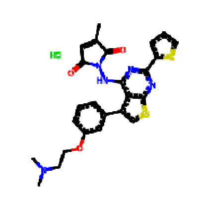 CC1=CC(=O)N(Nc2nc(-c3cccs3)nc3scc(-c4cccc(OCCN(C)C)c4)c23)C1=O.Cl